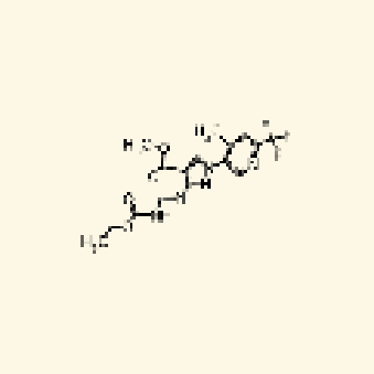 CCOC(=O)N/C=N/c1nn(-c2cnc(C(F)(F)F)cc2C)cc1C(=O)OC